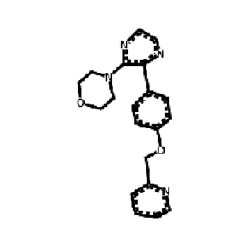 c1ccc(COc2ccc(-c3nccnc3N3CCOCC3)cc2)nc1